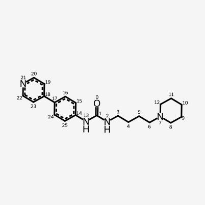 O=C(NCCCCN1CCCCC1)Nc1ccc(-c2ccncc2)cc1